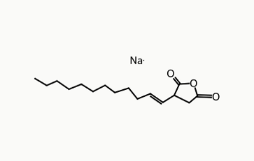 CCCCCCCCCCC=CC1CC(=O)OC1=O.[Na]